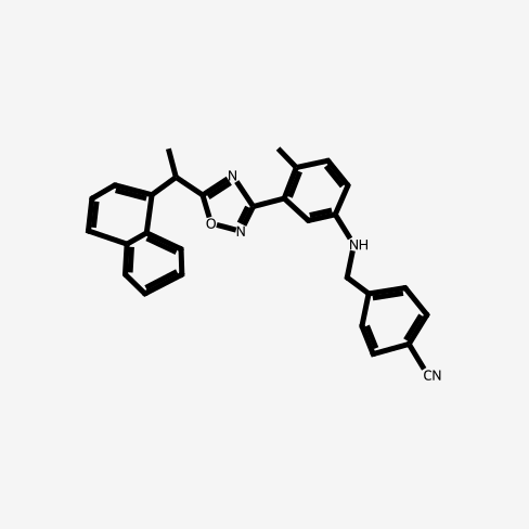 Cc1ccc(NCc2ccc(C#N)cc2)cc1-c1noc(C(C)c2cccc3ccccc23)n1